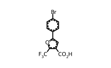 O=C(O)c1cc(-c2ccc(Br)cc2)oc1C(F)(F)F